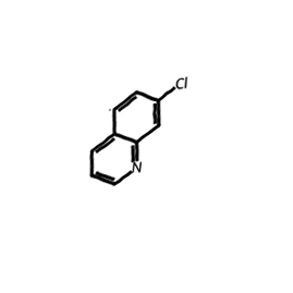 Clc1c[c]c2cccnc2c1